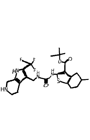 CC1CCc2sc(NC(=O)NCc3c(C(F)(F)F)[nH]c4c3CCNC4)c(C(=O)OC(C)(C)C)c2C1